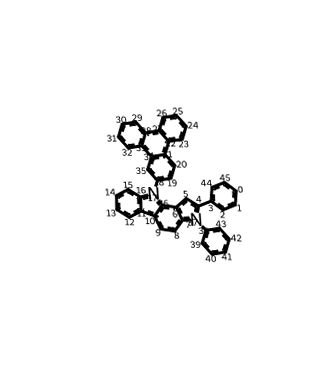 c1ccc(-c2cc3c(ccc4c5ccccc5n(-c5ccc6c7ccccc7c7ccccc7c6c5)c43)n2-c2ccccc2)cc1